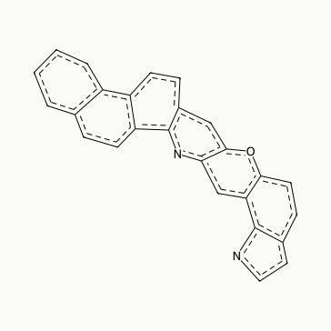 c1ccc2c(c1)ccc1c2ccc2cc3oc4ccc5ccnc5c4cc3nc21